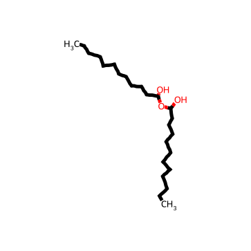 CCCCCCCCCCCC(O)OC(O)CCCCCCCCCCC